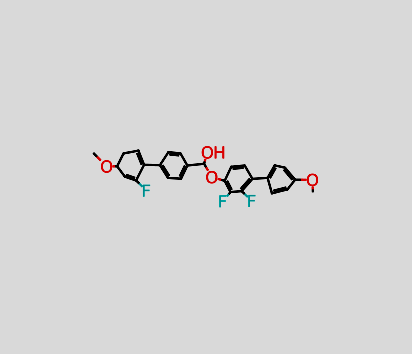 COc1ccc(-c2ccc(OC(O)c3ccc(C4=CCC(OC)C=C4F)cc3)c(F)c2F)cc1